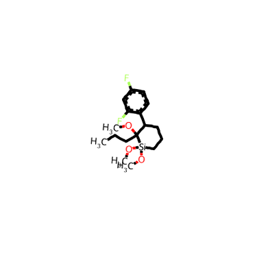 CCCC1(OC)C(c2ccc(F)cc2F)CCC[Si]1(OC)OC